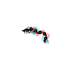 C=C(/C=C\C(=C/C)OC)C(c1ccc(Oc2c(F)c(F)c(C(=O)c3ccc(Oc4ccc(C(=O)c5c(F)c(F)c(C(C)(C)CC)c(F)c5F)cc4)cc3)c(F)c2F)cc1)(C(F)(F)F)C(F)(F)F